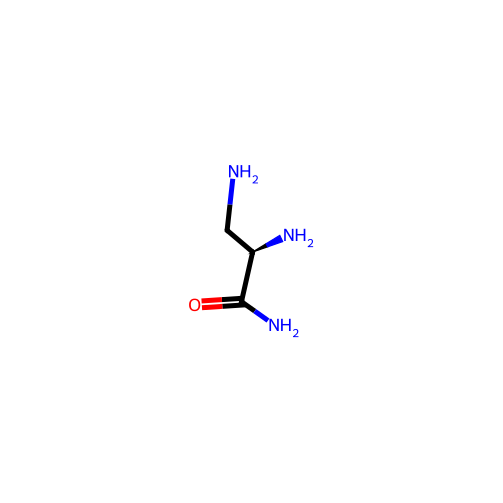 NC[C@@H](N)C(N)=O